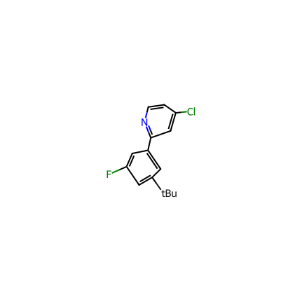 CC(C)(C)c1cc(F)cc(-c2cc(Cl)ccn2)c1